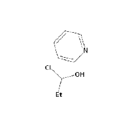 CCC(O)Cl.c1ccncc1